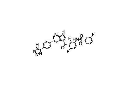 O=C(c1c(F)ccc(NS(=O)(=O)c2cccc(F)c2)c1F)c1c[nH]c2ncc(-c3ccc(-c4nnn[nH]4)cc3)cc12